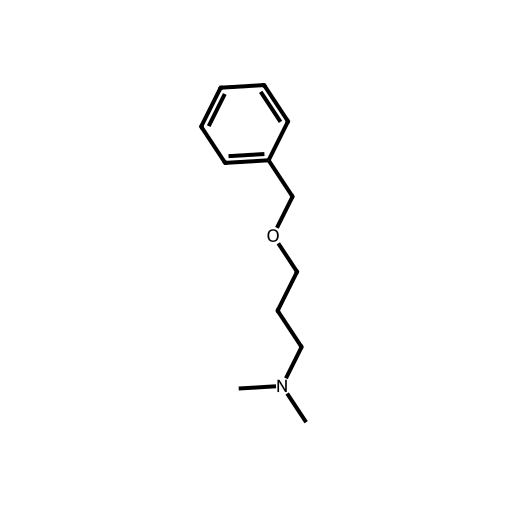 CN(C)CCCOCc1ccccc1